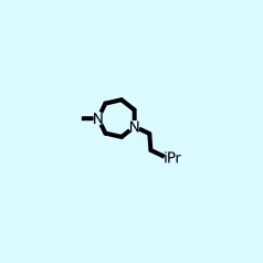 CC(C)CCN1CCCN(C)CC1